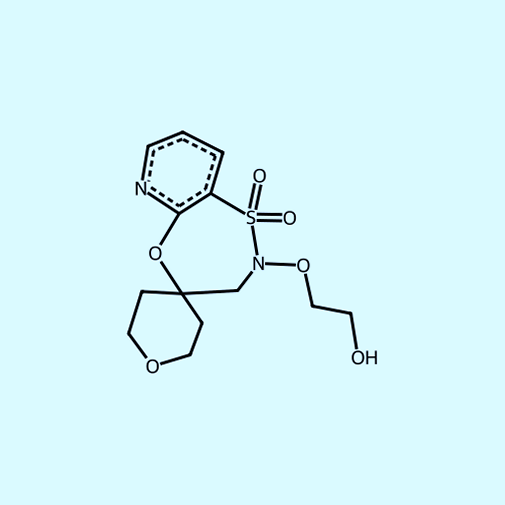 O=S1(=O)c2cccnc2OC2(CCOCC2)CN1OCCO